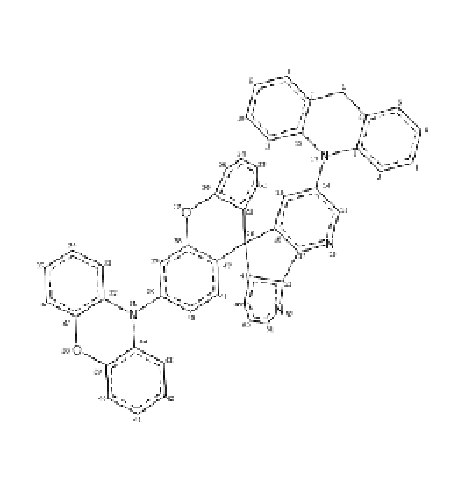 c1ccc2c(c1)Cc1ccccc1N2c1cnc2c(c1)C1(c3ccccc3Oc3cc(N4c5ccccc5Oc5ccccc54)ccc31)c1cccnc1-2